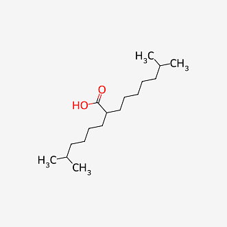 CC(C)CCCCCC(CCCCC(C)C)C(=O)O